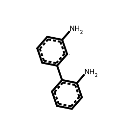 Nc1[c]c(-c2ccccc2N)ccc1